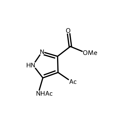 COC(=O)c1n[nH]c(NC(C)=O)c1C(C)=O